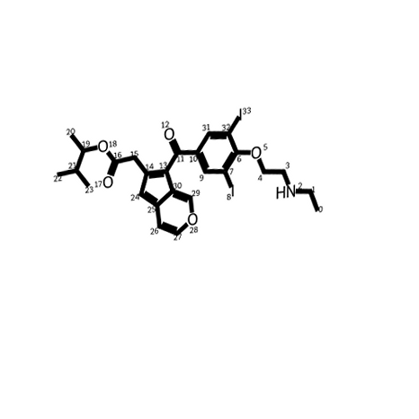 CCNCCOc1c(I)cc(C(=O)c2c(CC(=O)OC(C)C(C)C)cc3ccocc2-3)cc1I